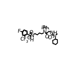 CC(C)C[C@H](NC(=O)N(C)C1CCCCC1)C(=O)NCCCCNS(=O)(=O)c1ccc(F)cc1C(F)(F)F